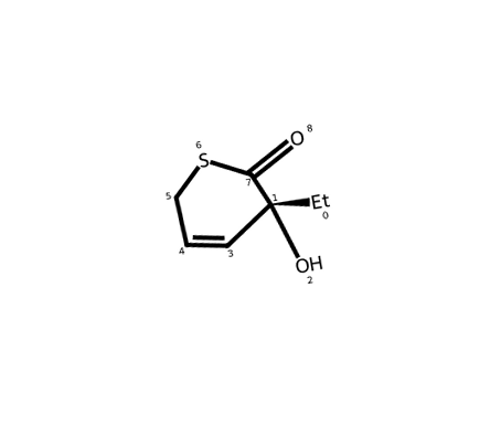 CC[C@@]1(O)C=CCSC1=O